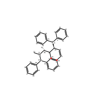 C[C@H](C1CCC=C[C@@H]1P(c1ccccc1)c1ccccc1)N(C)P(c1ccccc1)c1ccccc1